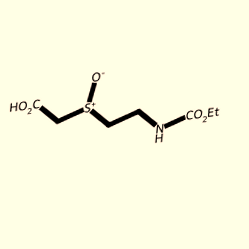 CCOC(=O)NCC[S+]([O-])CC(=O)O